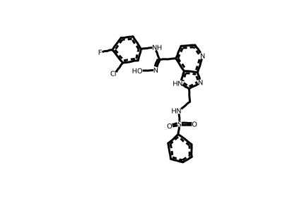 O=S(=O)(NCc1nc2nccc(C(=NO)Nc3ccc(F)c(Cl)c3)c2[nH]1)c1ccccc1